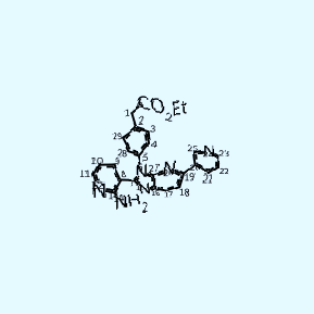 CCOC(=O)Cc1ccc(-n2c(-c3cccnc3N)nc3ccc(-c4cccnc4)nc32)cc1